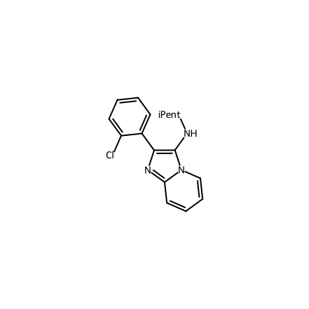 CCCC(C)Nc1c(-c2ccccc2Cl)nc2ccccn12